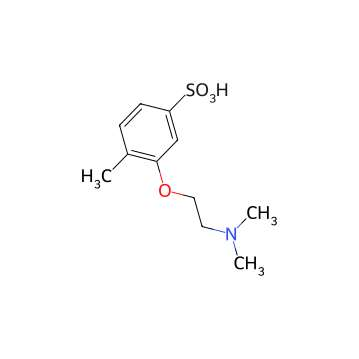 Cc1ccc(S(=O)(=O)O)cc1OCCN(C)C